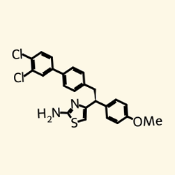 COc1ccc([C@H](Cc2ccc(-c3ccc(Cl)c(Cl)c3)cc2)c2csc(N)n2)cc1